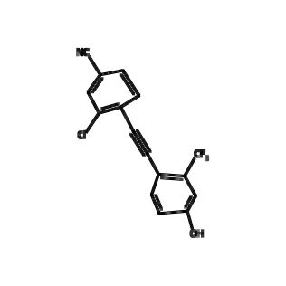 N#Cc1ccc(C#Cc2ccc(O)cc2C(F)(F)F)c(Cl)c1